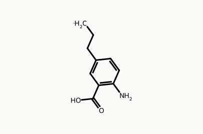 [CH2]CCc1ccc(N)c(C(=O)O)c1